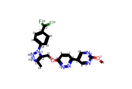 COc1ncc(-c2ccc(OCc3c(C)nnn3-c3ccc(C(F)F)cc3)nn2)cn1